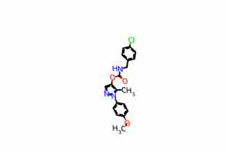 COc1ccc(-n2ncc(OC(=O)NCc3ccc(Cl)cc3)c2C)cc1